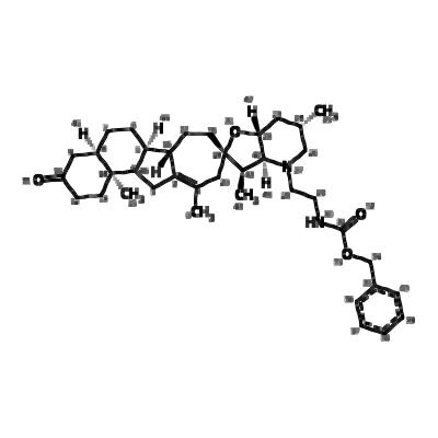 CC1=C2CC3[C@@H](CC[C@@H]4CC(=O)CC[C@]34C)[C@@H]2CC[C@@]2(C1)O[C@@H]1C[C@H](C)CN(CCNC(=O)OCc3ccccc3)[C@H]1[C@H]2C